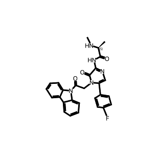 CN[C@@H](C)C(=O)Nc1ncc(-c2ccc(F)cc2)n(CC(=O)n2c3ccccc3c3ccccc32)c1=O